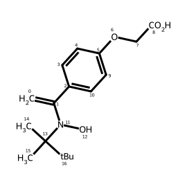 C=C(c1ccc(OCC(=O)O)cc1)N(O)C(C)(C)C(C)(C)C